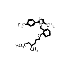 Cc1cnc(-c2ccc(C(F)(F)F)cc2)n1Cc1ccccc1OCCC[C@@H](C)CC(=O)O